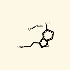 CC(=O)NCCc1c[nH]c2ccc(O)cc12.CCCCCCCCCC